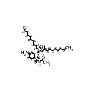 CC(=O)NS(=O)(=O)c1ccc(N)cc1.CCCCCCCCCC[N+](C)(C)CCCCCCCCCC